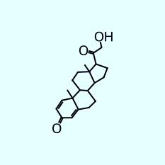 CC12C=CC(=O)C=C1CCC1C2CCC2(C)C(C(=O)CO)CCC12